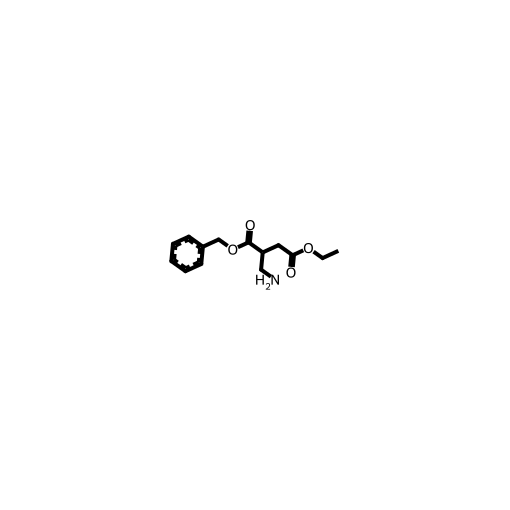 CCOC(=O)CC(CN)C(=O)OCc1ccccc1